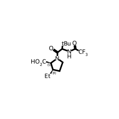 CC[C@@H]1CCN(C(=O)C(NC(=O)C(F)(F)F)C(C)(C)C)[C@@H]1C(=O)O